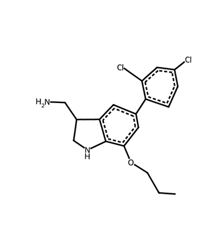 CCCOc1cc(-c2ccc(Cl)cc2Cl)cc2c1NCC2CN